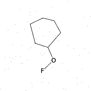 FOC1CCCCC1